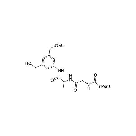 CCCCCC(=O)NCC(=O)NC(C)C(=O)Nc1cc(CO)cc(COC)c1